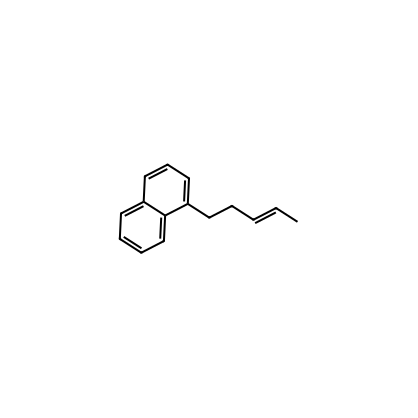 C/C=C/CCc1cccc2ccccc12